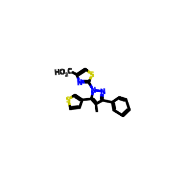 Cc1c(-c2ccccc2)nn(-c2nc(C(=O)O)cs2)c1-c1ccsc1